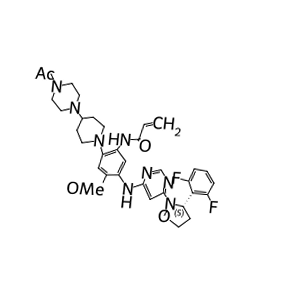 C=CC(=O)Nc1cc(Nc2cc(N3OCC[C@H]3c3c(F)cccc3F)ncn2)c(OC)cc1N1CCC(N2CCN(C(C)=O)CC2)CC1